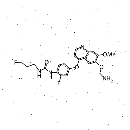 COc1cc2nccc(Oc3ccc(NC(=O)NCCCF)c(F)c3)c2cc1OCN